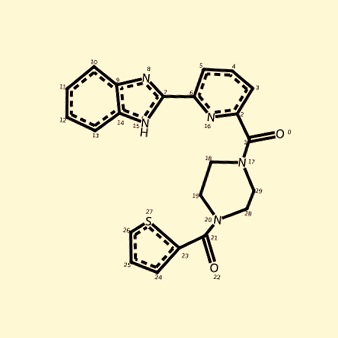 O=C(c1cccc(-c2nc3ccccc3[nH]2)n1)N1CCN(C(=O)c2cccs2)CC1